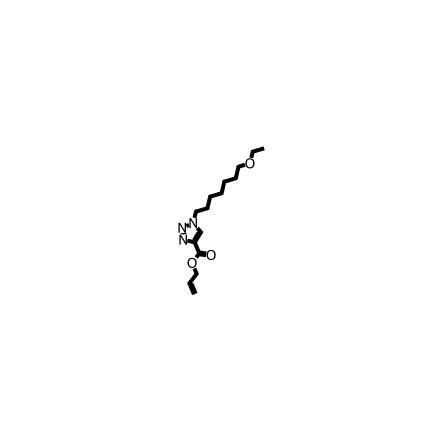 C=CCOC(=O)c1cn(CCCCCCCOCC)nn1